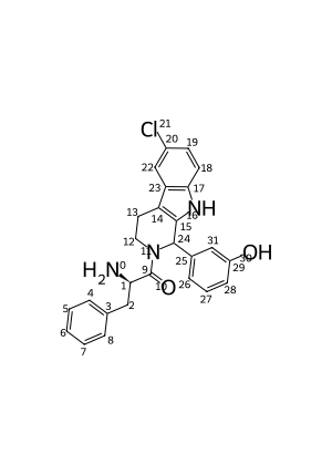 N[C@H](Cc1ccccc1)C(=O)N1CCc2c([nH]c3ccc(Cl)cc23)C1c1cccc(O)c1